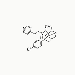 CC(NCCc1ccncc1)C12CC3CC(CC(c4ccc(Cl)cc4)(C3)C1)C2